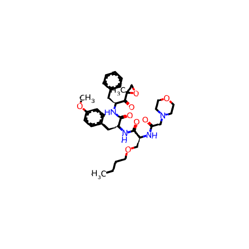 CCCCOC[C@H](NC(=O)CN1CCOCC1)C(=O)N[C@@H](Cc1ccc(OC)cc1)C(=O)N[C@@H](Cc1ccccc1)C(=O)[C@@]1(C)CO1